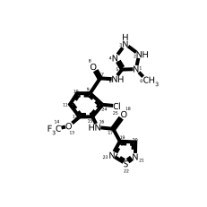 CN1NNN=C1NC(=O)c1ccc(OC(F)(F)F)c(NC(=O)c2cnsn2)c1Cl